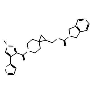 Cn1cc(-c2ccno2)c(C(=O)N2CCC3(CC2)CC3CNC(=O)N2Cc3ccncc3C2)n1